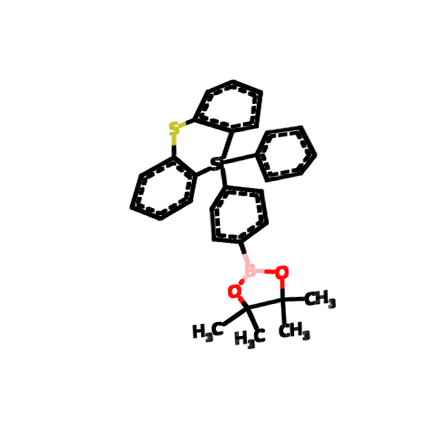 CC1(C)OB(c2ccc([Si]3(c4ccccc4)c4ccccc4Sc4ccccc43)cc2)OC1(C)C